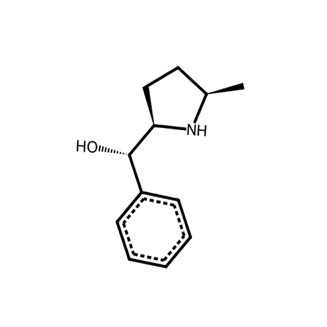 C[C@@H]1CC[C@H]([C@@H](O)c2ccccc2)N1